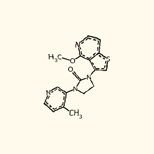 COc1nccc2scc(N3CCN(c4cnccc4C)C3=O)c12